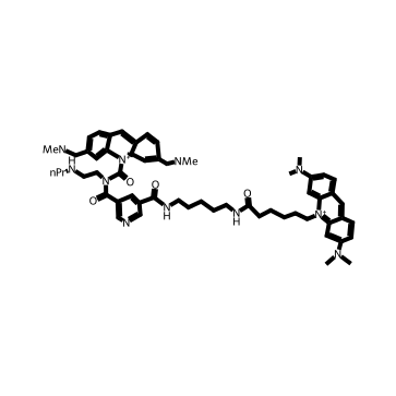 CCCNCCN(C(=O)c1cncc(C(=O)NCCCCCNC(=O)CCCCC[n+]2c3cc(N(C)C)ccc3cc3ccc(N(C)C)cc32)c1)C(=O)[n+]1c2cc(CNC)ccc2cc2ccc(CNC)cc21